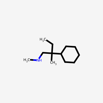 CCC(C)(CNC)C1CCCCC1